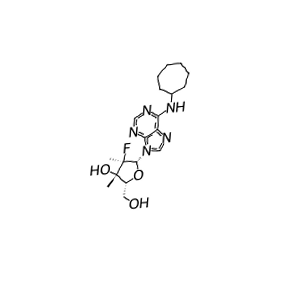 C[C@]1(O)[C@@H](CO)O[C@@H](n2cnc3c(NC4CCCCCC4)ncnc32)[C@]1(C)F